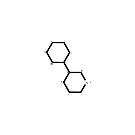 C1CCC(C2CCCSC2)CC1